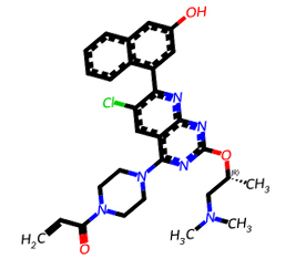 C=CC(=O)N1CCN(c2nc(O[C@H](C)CN(C)C)nc3nc(-c4cc(O)cc5ccccc45)c(Cl)cc23)CC1